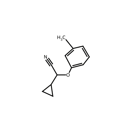 Cc1cccc(OC(C#N)C2CC2)c1